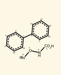 CC(C)(C)ONC(=O)O.c1ccc(-c2ccccc2)cc1